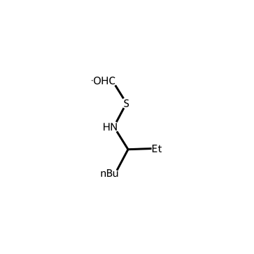 CCCCC(CC)NS[C]=O